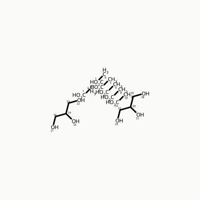 CC(=O)O.CC(=O)O.CC(=O)O.CC(=O)O.CC(=O)O.CC(=O)O.OCC(O)CO.OCC(O)CO